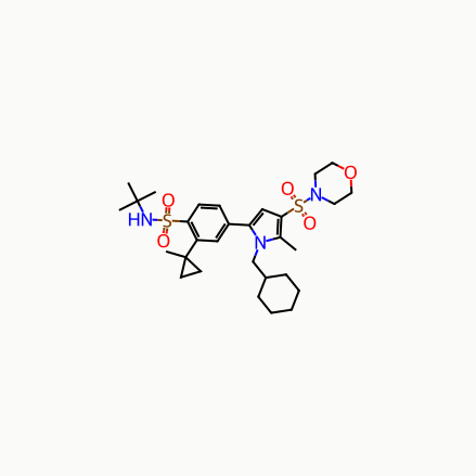 Cc1c(S(=O)(=O)N2CCOCC2)cc(-c2ccc(S(=O)(=O)NC(C)(C)C)c(C3(C)CC3)c2)n1CC1CCCCC1